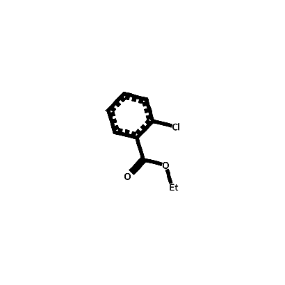 CCOC(=O)c1c[c]ccc1Cl